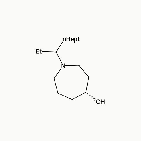 CCCCCCCC(CC)N1CCC[C@@H](O)CC1